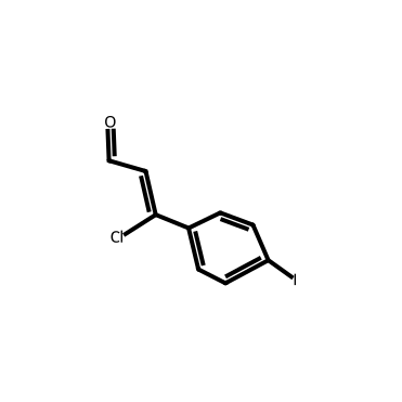 O=CC=C(Cl)c1ccc(I)cc1